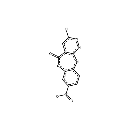 O=c1nc2cc([N+](=O)[O-])ccc2nc2nnc(Cl)cc12